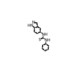 S=C(Nc1cc[c]cc1)Nc1ccc2[nH]ncc2c1